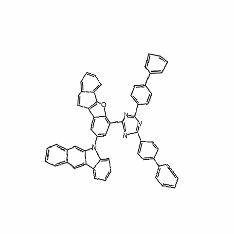 c1ccc(-c2ccc(-c3nc(-c4ccc(-c5ccccc5)cc4)nc(-c4cc(-n5c6ccccc6c6cc7ccccc7cc65)cc5c4oc4c6ccccc6ccc54)n3)cc2)cc1